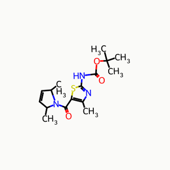 Cc1nc(NC(=O)OC(C)(C)C)sc1C(=O)N1C(C)C=CC1C